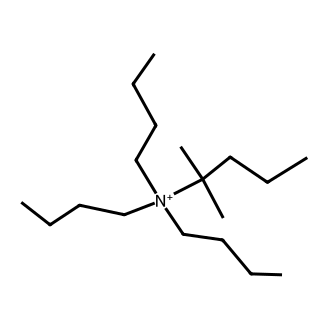 CCCC[N+](CCCC)(CCCC)C(C)(C)CCC